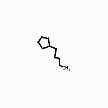 CC[CH]CCC1CCCC1